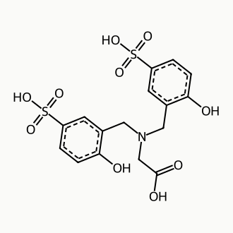 O=C(O)CN(Cc1cc(S(=O)(=O)O)ccc1O)Cc1cc(S(=O)(=O)O)ccc1O